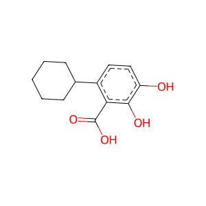 O=C(O)c1c(C2CCCCC2)ccc(O)c1O